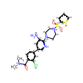 CN(C)C(=O)c1ccc(-c2cnc(N3CCN(S(=O)(=O)c4cccs4)CC3)c(N)c2)cc1Cl